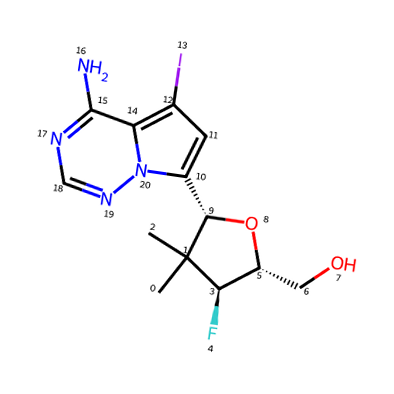 CC1(C)[C@H](F)[C@@H](CO)O[C@H]1c1cc(I)c2c(N)ncnn12